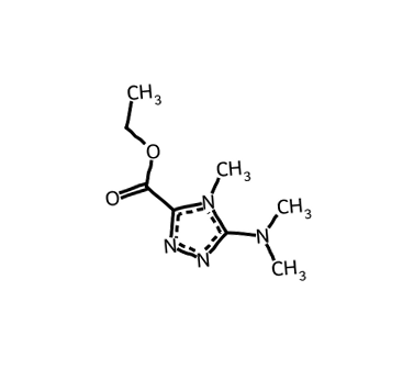 CCOC(=O)c1nnc(N(C)C)n1C